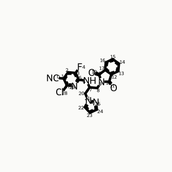 N#Cc1cc(F)c(NC(CN2C(=O)c3ccccc3C2=O)Cn2cccn2)nc1Cl